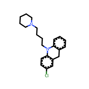 Clc1ccc2c(c1)Cc1ccccc1N2CCCCN1CCCCC1